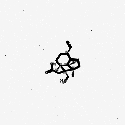 C=C[C@@H]1CC[C@H]2[C@H]3C1=CC[C@H]3[C@@]2(CN)CC(=O)O